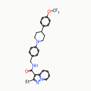 CCc1nn2ccccc2c1C(=O)NCc1ccc(N2CCC(c3ccc(OC(F)(F)F)cc3)CC2)cc1